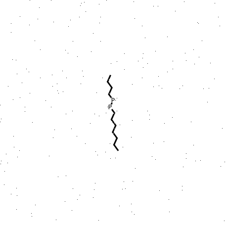 CCCCCCC[P][P]CCCC